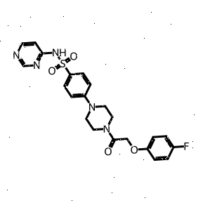 O=C(COc1ccc(F)cc1)N1CCN(c2ccc(S(=O)(=O)Nc3ccncn3)cc2)CC1